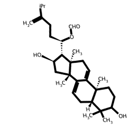 C=C(CC[C@@H](OC=O)[C@H]1[C@H](O)C[C@@]2(C)C3=CC[C@H]4C(C)(C)C(O)CC[C@]4(C)C3=CC[C@]12C)C(C)C